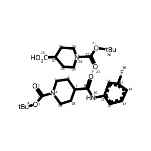 CC(C)(C)OC(=O)N1CCC(C(=O)Nc2cccc(F)c2)CC1.CC(C)(C)OC(=O)N1CCC(C(=O)O)CC1